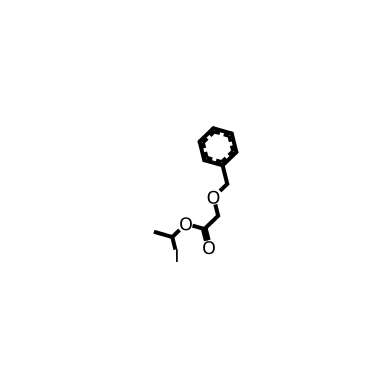 CC(I)OC(=O)COCc1ccccc1